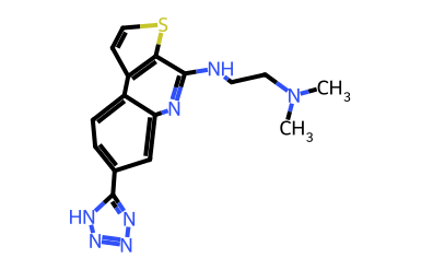 CN(C)CCNc1nc2cc(-c3nnn[nH]3)ccc2c2ccsc12